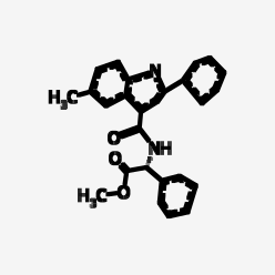 COC(=O)[C@H](NC(=O)c1cc(-c2ccccc2)nc2ccc(C)cc12)c1ccccc1